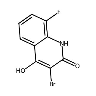 O=c1[nH]c2c(F)cccc2c(O)c1Br